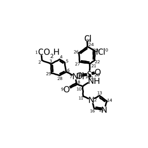 Cl.O=C(O)Cc1ccc(NC(=O)C(Cn2ccnc2)NS(=O)(=O)c2ccc(Cl)cc2)cc1